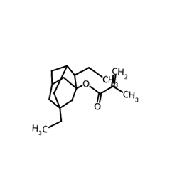 C=C(C)C(=O)OC12CC3CC(CC(CC)(C3)C1)C2CC